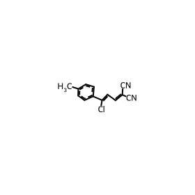 Cc1ccc(/C(Cl)=C/C=C(C#N)C#N)cc1